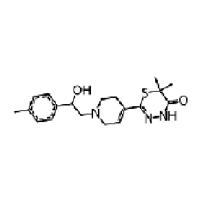 Cc1ccc(C(O)CN2CC=C(C3=NNC(=O)C(C)(C)S3)CC2)cc1